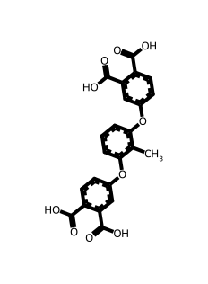 Cc1c(Oc2ccc(C(=O)O)c(C(=O)O)c2)cccc1Oc1ccc(C(=O)O)c(C(=O)O)c1